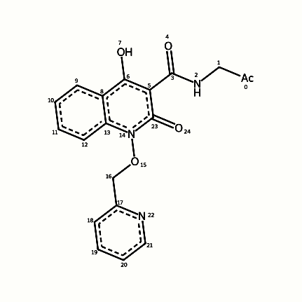 CC(=O)CNC(=O)c1c(O)c2ccccc2n(OCc2ccccn2)c1=O